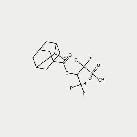 O=C(OC(C(F)(F)F)C(F)(F)S(=O)(=O)O)C12CC3CC(C1)C(O)C(C3)C2